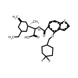 C=C1CC(CC)C[C@](C)(C(NC(=O)c2ccc3sccc3c2OCC2CCC(F)(F)CC2)C(=O)O)C1